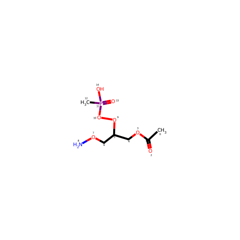 CC(=O)OCC(CON)OOP(C)(=O)O